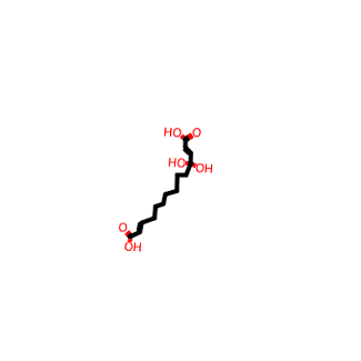 O=C(O)C=CCCCCCCCC(O)(O)C=CC(=O)O